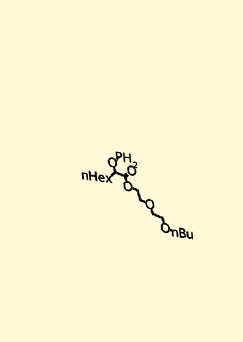 CCCCCCC(OP)C(=O)OCCOCCOCCCC